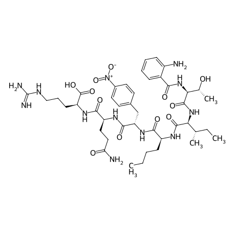 CCCC[C@H](NC(=O)[C@@H](NC(=O)[C@@H](NC(=O)c1ccccc1N)[C@@H](C)O)[C@@H](C)CC)C(=O)N[C@@H](Cc1ccc([N+](=O)[O-])cc1)C(=O)N[C@@H](CCC(N)=O)C(=O)N[C@@H](CCCNC(=N)N)C(=O)O